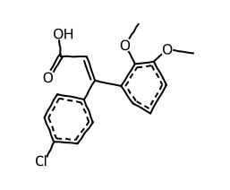 COc1cccc(C(=CC(=O)O)c2ccc(Cl)cc2)c1OC